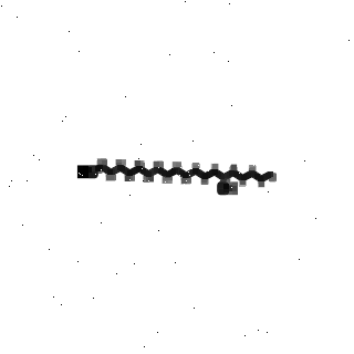 CCCCCC(O)CCCCCCCCCCCCCO